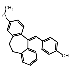 COc1ccc2c(c1)CCc1ccccc1/C2=C\c1ccc(O)cc1